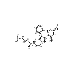 COc1ccc(-c2nn3c(c2-c2ccncc2)CN(C(=O)/C=C/CN(C)C)CC3)c(F)c1